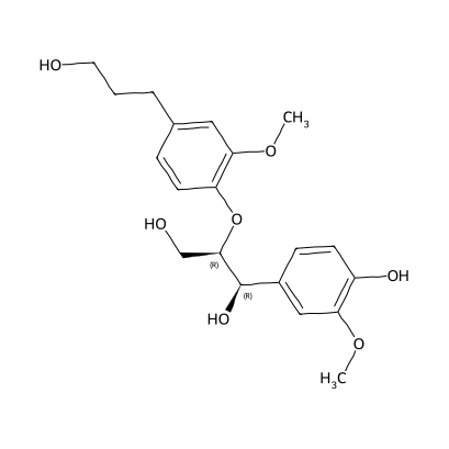 COc1cc([C@@H](O)[C@@H](CO)Oc2ccc(CCCO)cc2OC)ccc1O